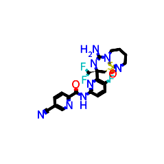 N#Cc1ccc(C(=O)Nc2ccc(F)c([C@]3(C(F)F)C[S@@]4(=O)=NCCCCN4C(N)=N3)n2)nc1